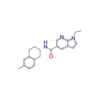 CCn1ccc2cc(C(=O)N[C@H]3CCc4cc(C)ccc4C3)cnc21